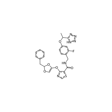 CC(Oc1ccc(CNC(=O)c2scnc2OC2=COC(Cc3ccccc3)O2)c(F)c1)c1nnn[nH]1